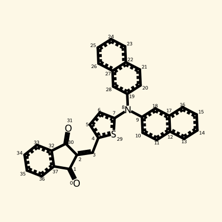 O=C1C(=Cc2ccc(N(c3ccc4ccccc4c3)c3ccc4ccccc4c3)s2)C(=O)c2ccccc21